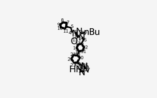 CCCCc1nn(CCc2ccccc2)c(=O)n1Cc1ccc(-c2cccc(-c3nnn[nH]3)c2)cc1